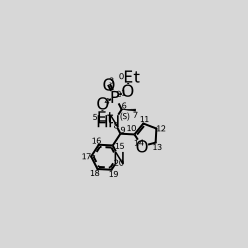 CCOP(=O)(OCC)[C@@H](C)NC(C1=CCCO1)c1ccccn1